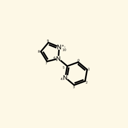 [c]1cccnc1N1C=CC=[N+]1